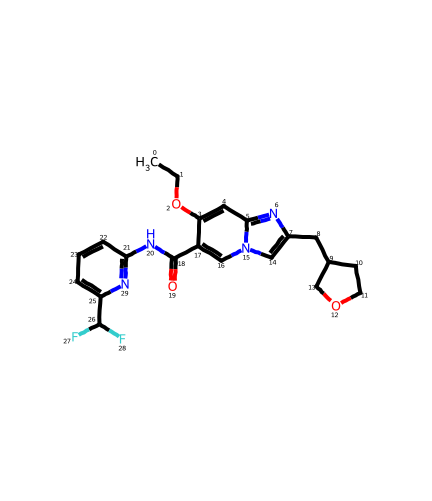 CCOc1cc2nc(CC3CCOC3)cn2cc1C(=O)Nc1cccc(C(F)F)n1